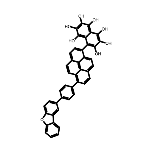 Oc1c(O)c(O)c2c(-c3ccc4ccc5c(-c6ccc(-c7ccc8oc9ccccc9c8c7)cc6)ccc6ccc3c4c65)c(O)c(O)c(O)c2c1O